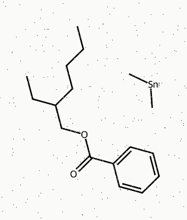 CCCCC(CC)COC(=O)c1ccccc1.[CH3][Sn][CH3]